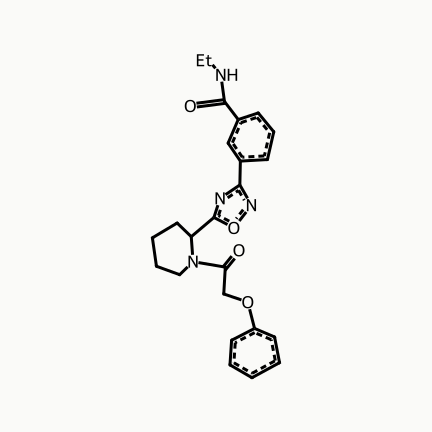 CCNC(=O)c1cccc(-c2noc(C3CCCCN3C(=O)COc3ccccc3)n2)c1